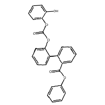 O=C(Oc1ccccc1O)Oc1ccccc1-c1ccccc1C(=O)Oc1ccccc1